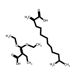 C=C(CCCCCCCCC(C)C)C(=O)O.CCOC(OCC)=C(CC)C(=O)O